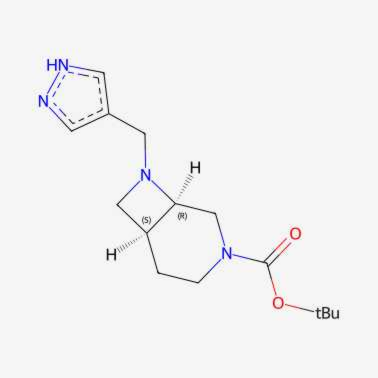 CC(C)(C)OC(=O)N1CC[C@H]2CN(Cc3cn[nH]c3)[C@H]2C1